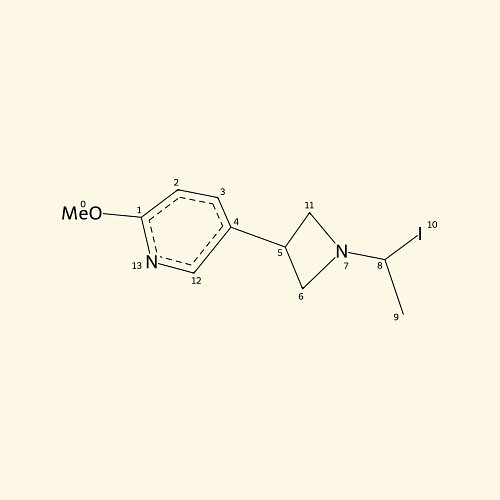 COc1ccc(C2CN(C(C)I)C2)cn1